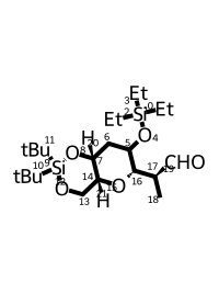 CC[Si](CC)(CC)OC1C[C@H]2O[Si](C(C)(C)C)(C(C)(C)C)OC[C@H]2O[C@H]1[C@H](C)C=O